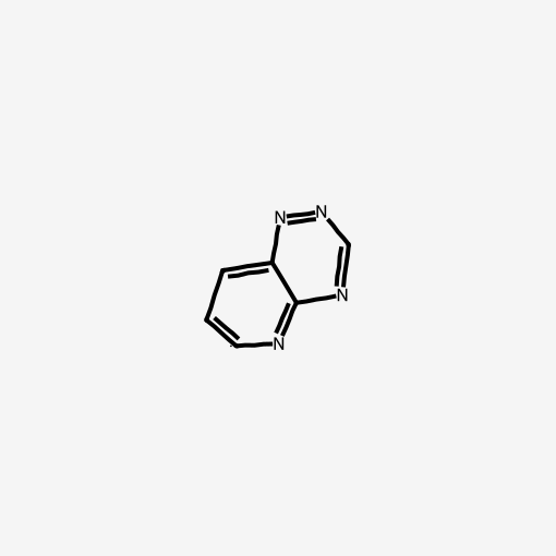 [c]1ccc2nncnc2n1